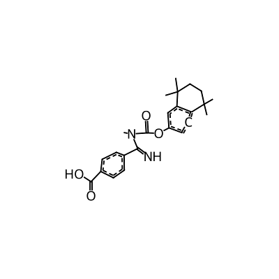 CN(C(=N)c1ccc(C(=O)O)cc1)C(=O)Oc1ccc2c(c1)C(C)(C)CCC2(C)C